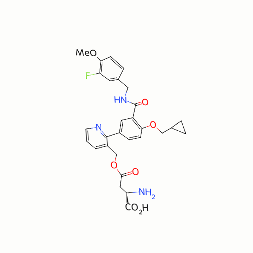 COc1ccc(CNC(=O)c2cc(-c3ncccc3COC(=O)C[C@@H](N)C(=O)O)ccc2OCC2CC2)cc1F